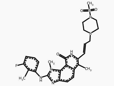 Cc1c(F)cccc1Nc1nc2ccc3c(C)c(C=CCN4CCN(S(C)(=O)=O)CC4)[nH]c(=O)c3c2n1C